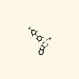 COc1cc(C(=O)O)cc(F)c1-c1cc(F)c([C@@H]2c3[nH]c4ccccc4c3C[C@@H](C)N2CC(C)(C)F)c(F)c1